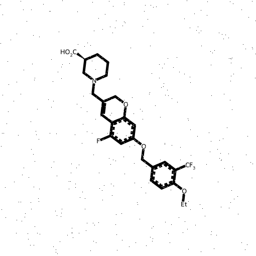 CCOc1ccc(COc2cc(F)c3c(c2)OCC(CN2CCC[C@H](C(=O)O)C2)=C3)cc1C(F)(F)F